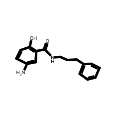 Nc1ccc(O)c(C(=O)NCCCc2ccccc2)c1